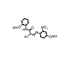 COc1ccc(/N=N/C(C(C)=O)C(=O)Nc2ccccc2OC)c([N+](=O)[O-])c1